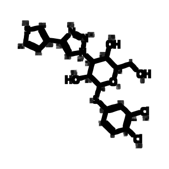 OCC1OC(Sc2ccc(Cl)c(Cl)c2)[C@@H](O)C(n2cc(-c3ccsc3)nn2)C1O